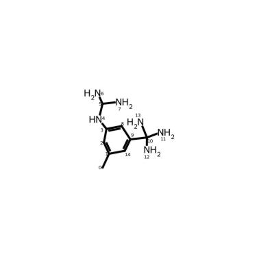 Cc1cc(NC(N)N)cc(C(N)(N)N)c1